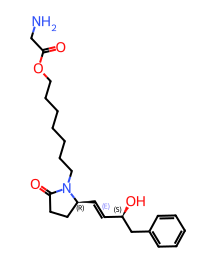 NCC(=O)OCCCCCCCN1C(=O)CC[C@@H]1/C=C/[C@@H](O)Cc1ccccc1